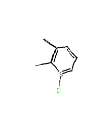 Cc1ccc[si](Cl)c1C